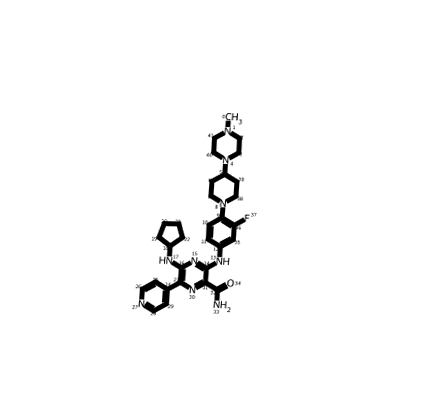 CN1CCN(C2CCN(c3ccc(Nc4nc(NC5CCCC5)c(-c5ccncc5)nc4C(N)=O)cc3F)CC2)CC1